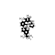 Cc1[nH]c(=O)c(NC2=NC(C)CCO2)cc1-c1cccc(-n2ncc3cc(C(C)(C)C)cc(F)c3c2=O)c1CO